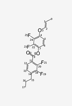 C/C=C/Oc1ccc(OC(=O)c2ccc(CCC)c(F)c2F)c(F)c1F